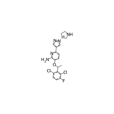 CC(Oc1ccc(-c2cnn([C@@H]3CCNC3)c2)nc1N)c1c(Cl)ccc(F)c1Cl